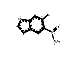 CO[N+](=O)c1cc2cc[nH]c2cc1C